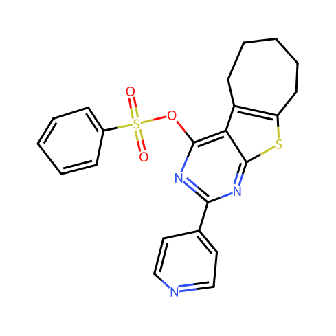 O=S(=O)(Oc1nc(-c2ccncc2)nc2sc3c(c12)CCCCC3)c1ccccc1